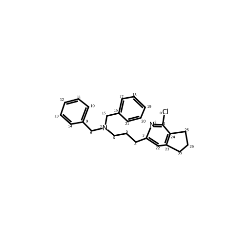 Clc1nc(CCCN(Cc2ccccc2)Cc2ccccc2)cc2c1CCC2